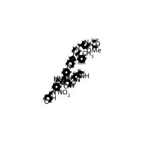 COc1cc(CN2CCN(C3CC4(CCN(c5ccc(C(=O)NS(=O)(=O)c6ccc(NCC7CCOCC7)c([N+](=O)[O-])c6)c(N6c7cc8cc[nH]c8nc7O[C@H]7COCC[C@@H]76)c5)CC4)C3)[C@H](c3ccccc3C)C2)cnc1N1CCOCC1